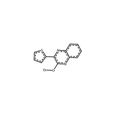 CCOc1nc2ccccc2nc1-c1cccs1